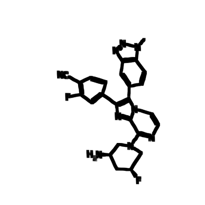 Cn1nnc2cc(-c3c(-c4ccc(C#N)c(F)c4)nc4c(N5C[C@H](N)C[C@H](F)C5)nccn34)ccc21